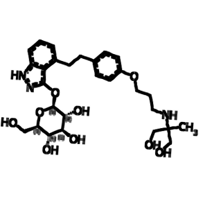 CC(CO)(CO)NCCCOc1ccc(CCc2cccc3[nH]nc(O[C@@H]4O[C@H](CO)[C@@H](O)[C@H](O)[C@H]4O)c23)cc1